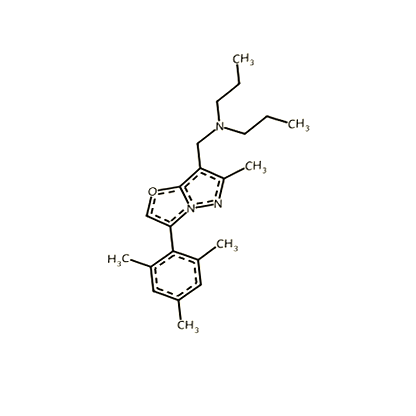 CCCN(CCC)Cc1c(C)nn2c(-c3c(C)cc(C)cc3C)coc12